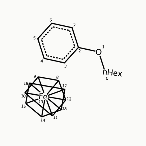 CCCCCCOc1ccccc1.[CH]12[CH]3[CH]4[CH]5[CH]1[Fe]23451678[CH]2[CH]1[CH]6[CH]7[CH]28